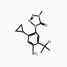 Bc1cc(C2CC2)c(-n2nnn(C)c2=O)cc1C(C)(C)CC